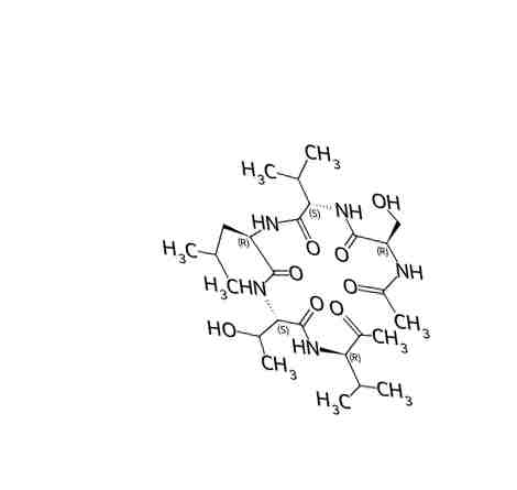 CC(=O)N[C@H](CO)C(=O)N[C@H](C(=O)N[C@H](CC(C)C)C(=O)N[C@H](C(=O)N[C@@H](C(C)=O)C(C)C)C(C)O)C(C)C